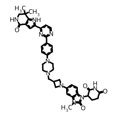 Cn1c(=O)n(C2CCC(=O)NC2=O)c2ccc(N3CC(CN4CCN(c5ccc(-c6nccc(-c7cc8c([nH]7)C(C)(C)CNC8=O)n6)cc5)CC4)C3)cc21